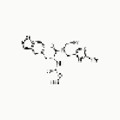 CC(C)CN(Cc1csc(C(C)C)n1)C(=O)[C@@H](Cc1ccc2occc2c1)NC(=O)OC(C)(C)C